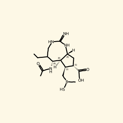 CCC1CNC(=N)N[C@@H]2C[C@H](C(=O)O)[C@@H](CB(C)S)[C@H]2[C@@H]1NC(C)=O